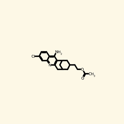 CC(=O)OCCC1CC2Cc3nc4cc(Cl)ccc4c(N)c3C(C1)C2